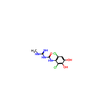 CNC(=N)NC(=O)Nc1c(Cl)cc(O)c(O)c1Cl